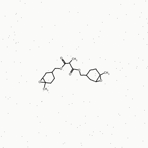 CC(C(=O)OCC1CCC2(C)OC2C1)C(=O)OCC1CCC2(C)OC2C1